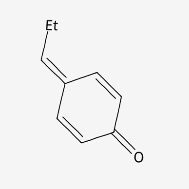 CCC=C1C=CC(=O)C=C1